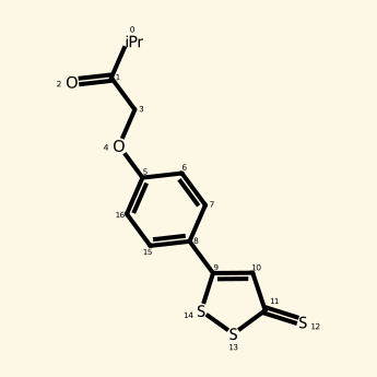 CC(C)C(=O)COc1ccc(-c2cc(=S)ss2)cc1